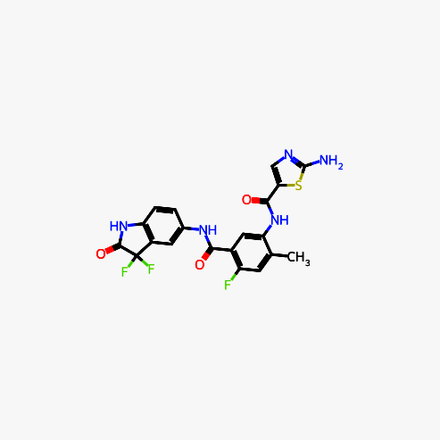 Cc1cc(F)c(C(=O)Nc2ccc3c(c2)C(F)(F)C(=O)N3)cc1NC(=O)c1cnc(N)s1